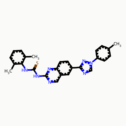 Cc1ccc(-n2cnc(-c3ccc4nc(NC(=S)Nc5c(C)cccc5C)ncc4c3)n2)cc1